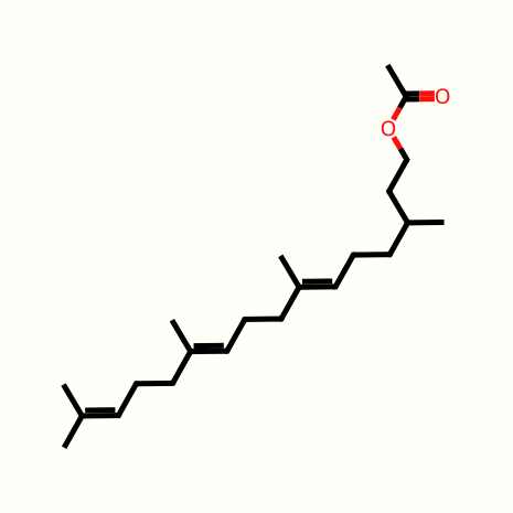 CC(=O)OCCC(C)CC/C=C(\C)CC/C=C(\C)CCC=C(C)C